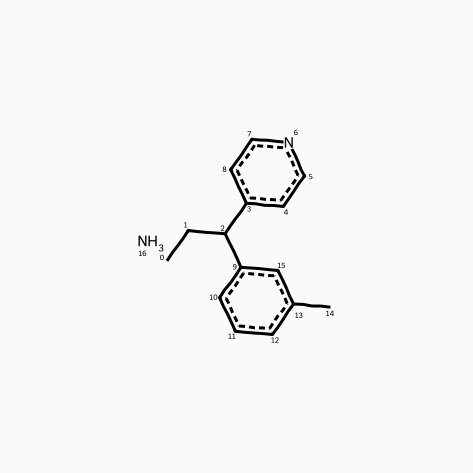 CCC(c1ccncc1)c1cccc(C)c1.N